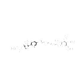 C[C@]1(C(=O)O)CSC(c2ncc(OCCOCCOCCO[C@H]3OC(CO)[C@@H](O)[C@@H](O)C3O)cc2O)=N1